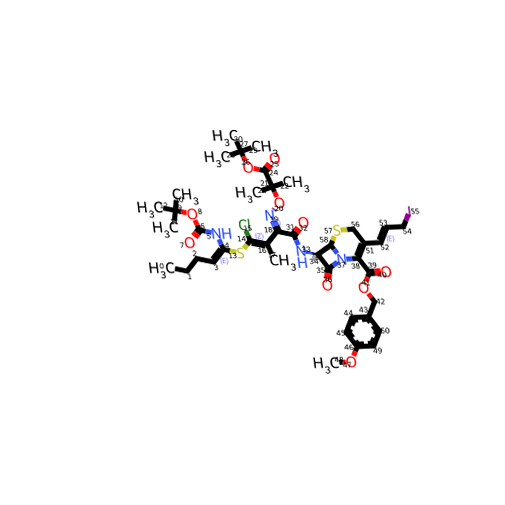 CCC/C=C(\NC(=O)OC(C)(C)C)S/C(Cl)=C(C)/C(=N/OC(C)(C)C(=O)OC(C)(C)C)C(=O)N[C@@H]1C(=O)N2C(C(=O)OCc3ccc(OC)cc3)=C(/C=C/CI)CSC12